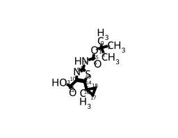 CC(C)(C)OC(=O)Nc1nc(C(=O)O)c(C2(C)CC2)s1